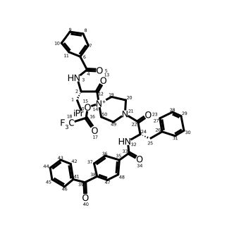 CC(C)C[C@H](NC(=O)c1ccccc1)C(=O)[N+]1(OC(=O)C(F)(F)F)CCN(C(=O)[C@H](Cc2ccccc2)NC(=O)c2ccc(C(=O)c3ccccc3)cc2)CC1